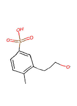 Cc1ccc(S(=O)(=O)O)cc1CC[O]